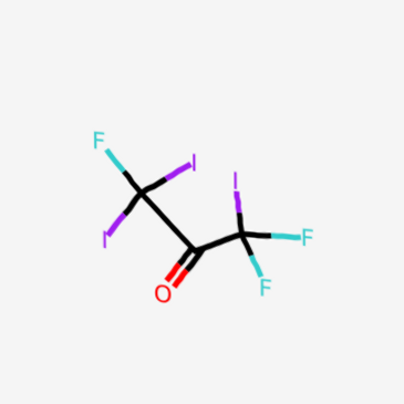 O=C(C(F)(F)I)C(F)(I)I